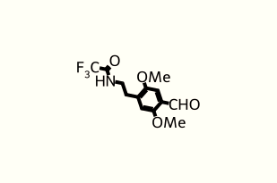 COc1cc(CCNC(=O)C(F)(F)F)c(OC)cc1C=O